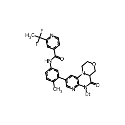 CCN1C(=O)C2COCCN2c2cc(-c3cc(NC(=O)c4ccnc(C(C)(F)F)c4)ccc3C)cnc21